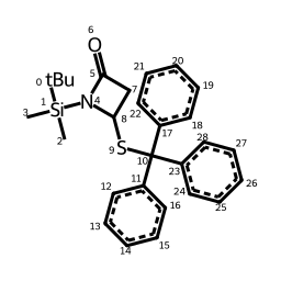 CC(C)(C)[Si](C)(C)N1C(=O)CC1SC(c1ccccc1)(c1ccccc1)c1ccccc1